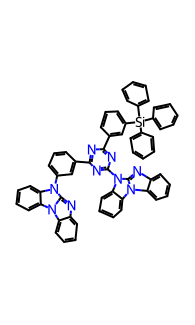 c1ccc([Si](c2ccccc2)(c2ccccc2)c2cccc(-c3nc(-c4cccc(-n5c6ccccc6n6c7ccccc7nc56)c4)nc(-n4c5ccccc5n5c6ccccc6nc45)n3)c2)cc1